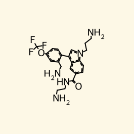 NCCCn1cc(-c2ccc(OC(F)(F)F)cc2CN)c2cc(C(=O)NCCN)ccc21